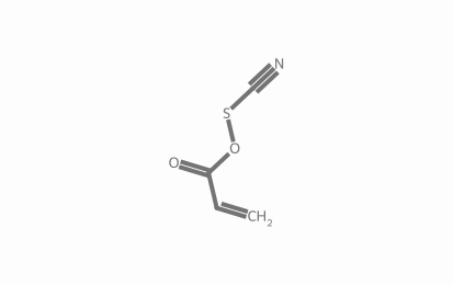 C=CC(=O)OSC#N